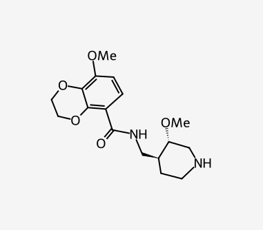 COc1ccc(C(=O)NC[C@@H]2CCNC[C@H]2OC)c2c1OCCO2